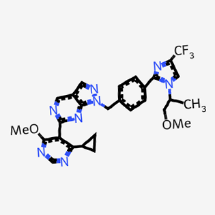 COCC(C)n1cc(C(F)(F)F)nc1-c1ccc(Cn2ncc3cnc(-c4c(OC)ncnc4C4CC4)nc32)cc1